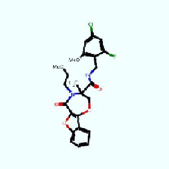 COCCN1C(=O)c2oc3ccccc3c2OCC1(C)C(=O)NCc1c(F)cc(Cl)cc1OC